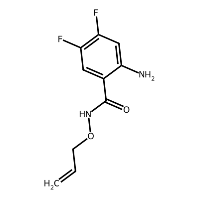 C=CCONC(=O)c1cc(F)c(F)cc1N